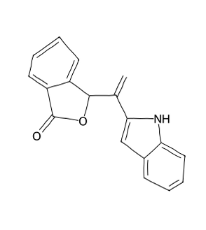 C=C(c1cc2ccccc2[nH]1)C1OC(=O)c2ccccc21